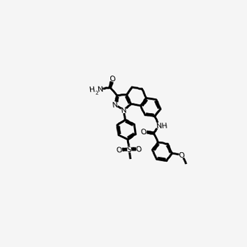 COc1cccc(C(=O)Nc2ccc3c(c2)-c2c(c(C(N)=O)nn2-c2ccc(S(C)(=O)=O)cc2)CC3)c1